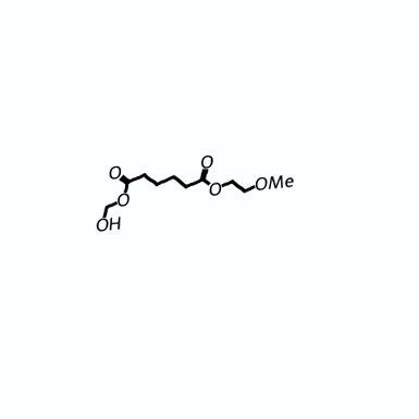 COCCOC(=O)CCCCC(=O)OCO